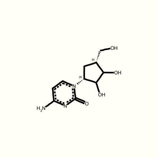 Nc1ccn([C@@H]2C[C@H](CO)C(O)C2O)c(=O)n1